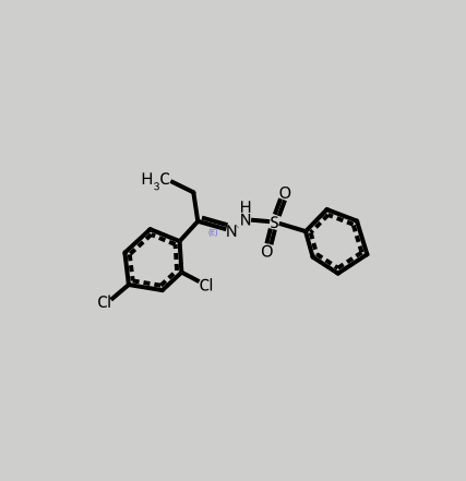 CC/C(=N\NS(=O)(=O)c1ccccc1)c1ccc(Cl)cc1Cl